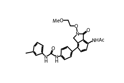 COCCON1Cc2c(-c3ccc(NC(=O)Nc4cccc(C)c4)cc3)ccc(NC(C)=O)c2C1=O